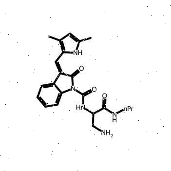 CCCNC(=O)C(CN)NC(=O)N1C(=O)/C(=C\c2[nH]c(C)cc2C)c2ccccc21